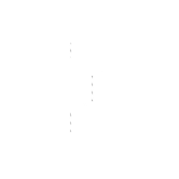 CCC=CC(C)O[C]=O